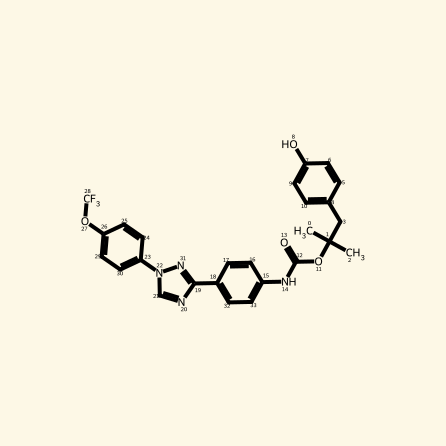 CC(C)(Cc1ccc(O)cc1)OC(=O)Nc1ccc(-c2ncn(-c3ccc(OC(F)(F)F)cc3)n2)cc1